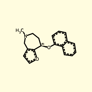 CN1CC[C@@H](Oc2cccc3ccccc23)c2occc2C1